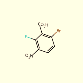 O=C(O)c1c(Br)ccc([N+](=O)[O-])c1F